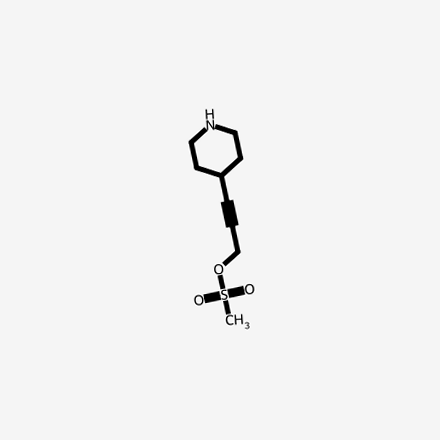 CS(=O)(=O)OCC#CC1CCNCC1